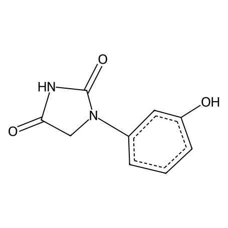 O=C1CN(c2cccc(O)c2)C(=O)N1